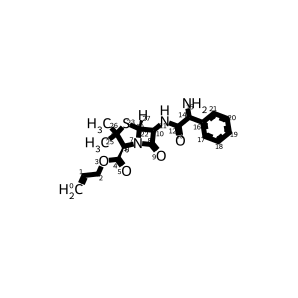 C=CCOC(=O)[C@@H]1N2C(=O)C(NC(=O)C(N)c3ccccc3)[C@H]2SC1(C)C